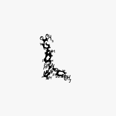 C=CC(=O)N1CCC(c2cc3ccc(CNc4nc(OC5CCN(C)CC5)nc5c(C(C)C)cnn45)cc3[nH]2)CC1